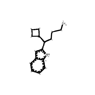 CCCCC(c1cc2ccccc2[nH]1)C1CCC1